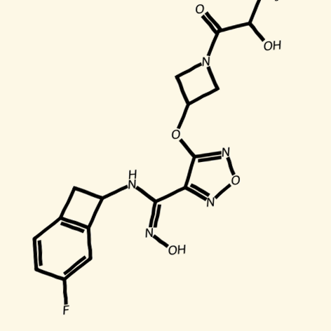 CC(O)C(=O)N1CC(Oc2nonc2C(=NO)NC2Cc3ccc(F)cc32)C1